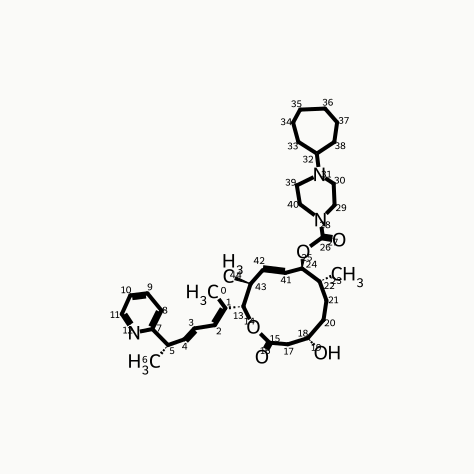 C/C(=C\C=C\[C@H](C)c1ccccn1)[C@H]1OC(=O)C[C@@H](O)CC[C@@H](C)[C@H](OC(=O)N2CCN(C3CCCCCC3)CC2)/C=C/[C@@H]1C